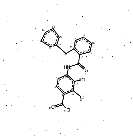 O=C(Nc1ccc(C(=O)Cl)c(Cl)c1Cl)c1ccccc1Cc1ccccc1